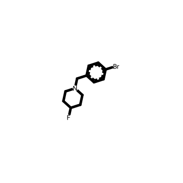 FC1CCN(Cc2ccc(Br)cc2)CC1